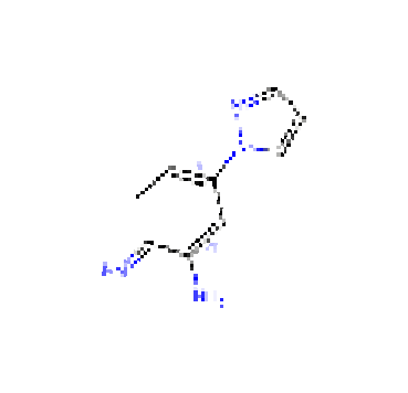 C/C=C(\C=C(\N)C=N)n1cccn1